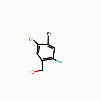 CCc1cc(F)c(CO)cc1Br